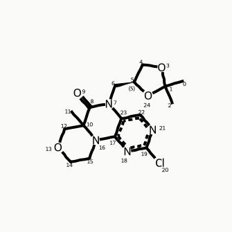 CC1(C)OC[C@H](CN2C(=O)C3(C)COCCN3c3nc(Cl)ncc32)O1